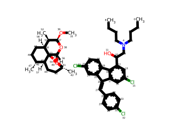 CCCCN(CCCC)CC(O)c1cc(Cl)cc2c1-c1ccc(Cl)cc1/C2=C/c1ccc(Cl)cc1.CO[C@H]1O[C@@H]2O[C@]3(C)CC[C@H]4[C@H](C)CC[C@@H]([C@H]1C)C24OO3